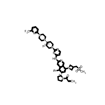 C=CC(=O)N1CCC[C@@H]1c1cc(N2CC(CS(C)(=O)=O)C2)c2cnc(Nc3ccnc(N4CC[C@@H](N5CCN(c6cccc(C(F)(F)F)n6)CC5)[C@@H](F)C4)n3)cc2c1C(C)C